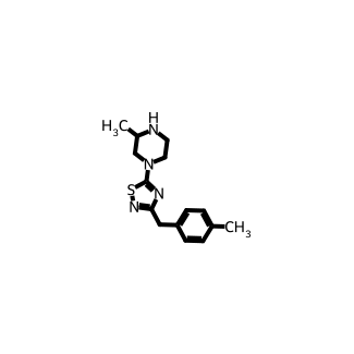 Cc1ccc(Cc2nsc(N3CCNC(C)C3)n2)cc1